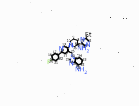 CCc1cncc([C@@]2(N)CCCN(c3cnc(-c4ccc(F)cc4)cc3Cn3cnc4c(N)cccc43)C2)n1